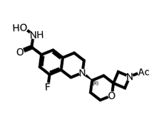 CC(=O)N1CC2(C[C@H](N3CCc4cc(C(=O)NO)cc(F)c4C3)CCO2)C1